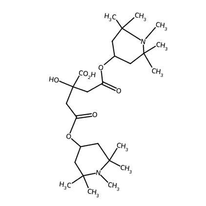 CN1C(C)(C)CC(OC(=O)CC(O)(CC(=O)OC2CC(C)(C)N(C)C(C)(C)C2)C(=O)O)CC1(C)C